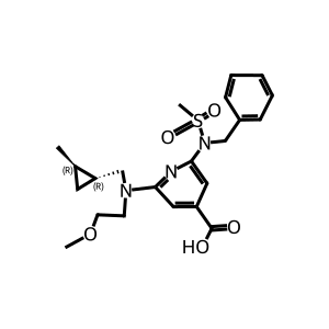 COCCN(C[C@@H]1C[C@H]1C)c1cc(C(=O)O)cc(N(Cc2ccccc2)S(C)(=O)=O)n1